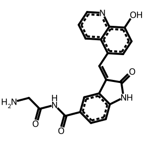 NCC(=O)NC(=O)c1ccc2c(c1)C(=Cc1ccc(O)c3ncccc13)C(=O)N2